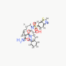 CC[C@H](C)CN(CC(O)C(Cc1ccccc1)NC(=O)C1(C(N)=O)CC1)S(=O)(=O)c1ccc2ncsc2c1